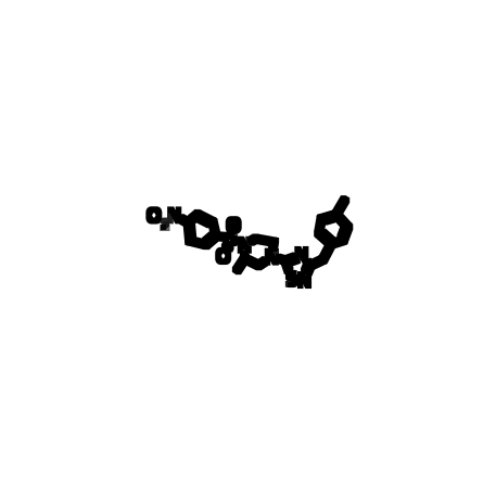 Cc1ccc(Cc2nsc(N3CCN(S(=O)(=O)c4ccc([N+](=O)[O-])cc4)C(C)C3)n2)cc1